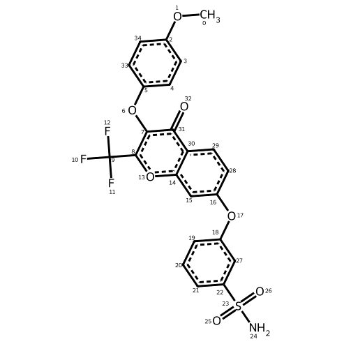 COc1ccc(Oc2c(C(F)(F)F)oc3cc(Oc4cccc(S(N)(=O)=O)c4)ccc3c2=O)cc1